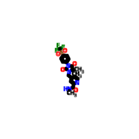 CNC(=O)c1cc(CN2C(=O)N(c3ccc(S(=O)(=O)C(F)(F)F)cc3)C(=O)C2(C)C)ccn1